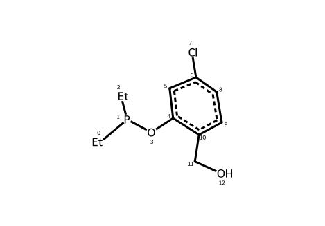 CCP(CC)Oc1cc(Cl)ccc1CO